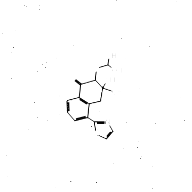 CC(O)SC1C(=O)c2cccc(-c3nccs3)c2CC1(C)C